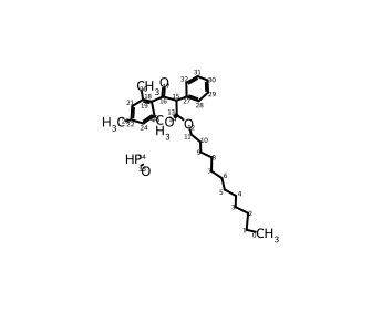 CCCCCCCCCCCCOC(=O)C(C(=O)c1c(C)cc(C)cc1C)c1ccccc1.O=P